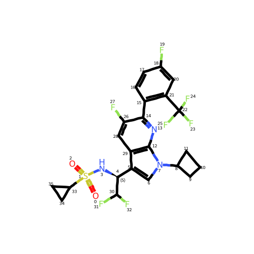 O=S(=O)(N[C@@H](c1cn(C2CCC2)c2nc(-c3ccc(F)cc3C(F)(F)F)c(F)cc12)C(F)F)C1CC1